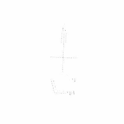 CC(C)(C#N)c1cc[nH]n1